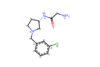 NCC(=O)N[C@H]1CCN(Cc2cccc(Cl)c2)C1